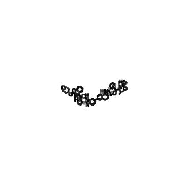 COC(=O)N[C@H](C(=O)N1CCC[C@H]1c1nc2c([nH]1)-c1ccc(-c3ccc4nc([C@@H]5CCCN5C(=O)[C@H](NC(=O)OC5CCOCC5)c5ccccc5)[nH]c4c3)cc1CC2)C(C)C